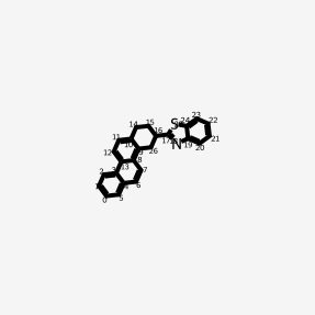 c1ccc2c(c1)ccc1c3c(ccc12)CCC(c1nc2ccccc2s1)C3